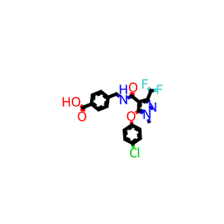 Cn1nc(C(F)F)c(C(=O)NCc2ccc(C(=O)O)cc2)c1Oc1ccc(Cl)cc1